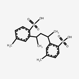 Cc1ccc(S(=O)(=O)O)c(C(C)CC(C)c2cc(C)ccc2S(=O)(=O)O)c1